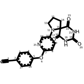 N#Cc1ccc(Oc2ccc(N3CCCC34C(=O)NC(=O)NC4=O)cn2)cc1